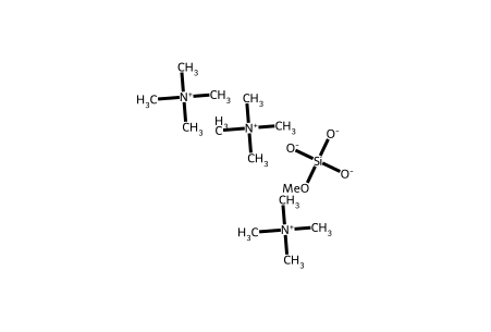 CO[Si]([O-])([O-])[O-].C[N+](C)(C)C.C[N+](C)(C)C.C[N+](C)(C)C